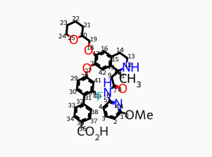 COc1cccc(NC(=O)C[C@@]2(C)NCCc3cc(OCC4CCCCO4)c(Oc4ccc(-c5ccc(C(=O)O)cc5)c(F)c4)cc32)n1